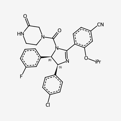 CC(C)Oc1cc(C#N)ccc1C1=N[C@@H](c2ccc(Cl)cc2)[C@@H](c2cccc(F)c2)N1C(=O)N1CCNC(=O)C1